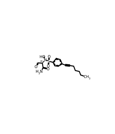 CCCCCC#Cc1ccc(S(=O)(=O)N(O)[C@H]([C]=O)C(N)=O)cc1